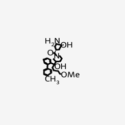 COCCCC[C@@](O)(c1ccccc1-c1ccc(C)cc1)C1CCCN(C(=O)[C@H]2C[C@@H](N)[C@@H](O)C2)C1